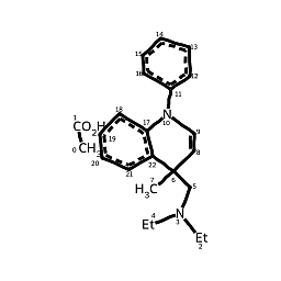 CC(=O)O.CCN(CC)CC1(C)C=CN(c2ccccc2)c2ccccc21